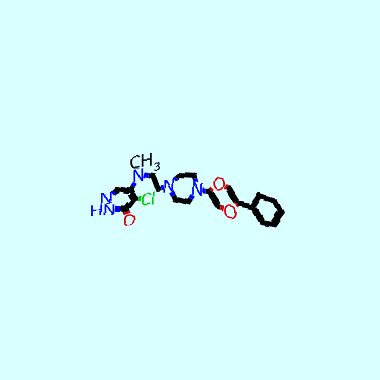 CN(CCN1CCN(C2=COC(C3=CC=CCC3)=CO2)CC1)c1cn[nH]c(=O)c1Cl